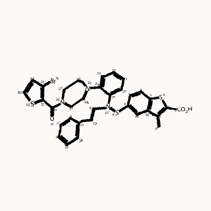 Cc1c(C(=O)O)sc2ccc(SN(CCc3ccccc3)c3ccccc3N3CCN(C(=O)c4sccc4Br)CC3)cc12